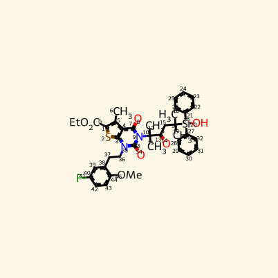 CCOC(=O)c1sc2c(c1C)c(=O)n(C(C)(C)C(=O)CC(C)(C)[Si](O)(c1ccccc1)c1ccccc1)c(=O)n2CCc1cc(F)ccc1OC